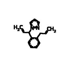 C=CCc1ccccc1C(C=C)n1cccn1